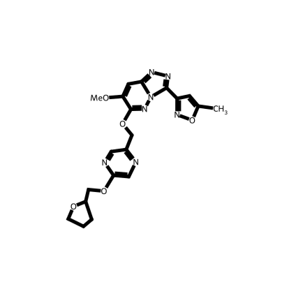 COc1cc2nnc(-c3cc(C)on3)n2nc1OCc1cnc(OCC2CCCO2)cn1